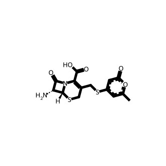 Cc1cc(SCC2=C(C(=O)O)N3C(=O)[C@@H](N)[C@H]3SC2)cc(=O)o1